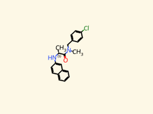 C[C@H](Nc1ccc2ccccc2c1)C(=O)N(C)Cc1ccc(Cl)cc1